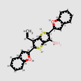 Bc1c(-c2cc3ccccc3o2)sc2c(C=C)c(-c3cc4ccccc4o3)sc12